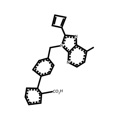 Cc1ccnc2c1nc(C1=CC=C1)n2Cc1ccc(-c2ccccc2C(=O)O)cc1